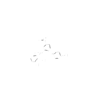 Cc1ccc(Sc2ccc([N+](=O)[O-])cc2CNc2cccc(Cl)c2O)cc1